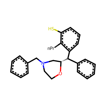 CCCc1c(S)cccc1C(c1ccccc1)[C@H]1CN(Cc2ccccc2)CCO1